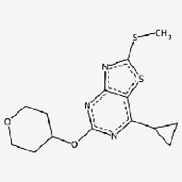 CSc1nc2nc(OC3CCOCC3)nc(C3CC3)c2s1